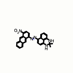 CC1(C)Nc2cccc3c(/N=N/c4ccc([N+](=O)[O-])c5cc6ccccc6cc45)ccc(c23)N1